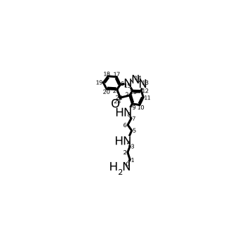 NCCCNCCCNc1ccc2nnn3c4ccccc4c(=O)c1c23